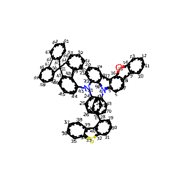 c1ccc(-n2c3ccc4c5ccccc5oc4c3c3cccc(N(c4ccc(-c5cccc6sc7ccccc7c56)cc4)c4cccc5c4-c4ccccc4C54c5ccccc5-c5ccccc54)c32)cc1